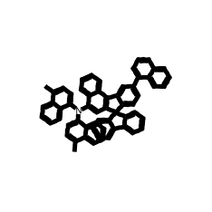 Cc1ccc(N(c2ccc(C)c3ccccc23)c2cc3c(c4ccccc24)-c2cc(-c4cccc5ccccc45)ccc2C32c3ccccc3-c3ccccc32)c2ccccc12